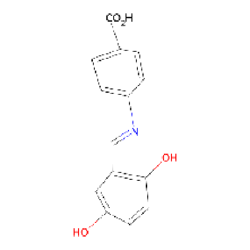 O=C(O)c1ccc(N=Cc2cc(O)ccc2O)cc1